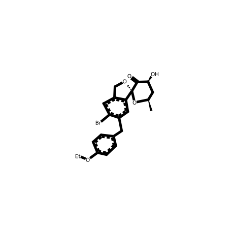 CCOc1ccc(Cc2cc3c(cc2Br)CO[C@]32O[C@H](C)C[C@H](O)C2=O)cc1